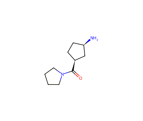 N[C@@H]1CC[C@H](C(=O)N2CCCC2)C1